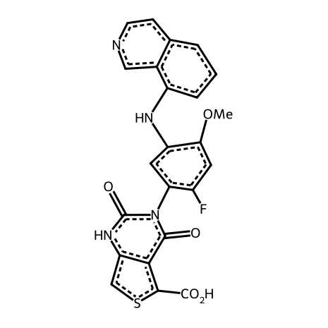 COc1cc(F)c(-n2c(=O)[nH]c3csc(C(=O)O)c3c2=O)cc1Nc1cccc2ccncc12